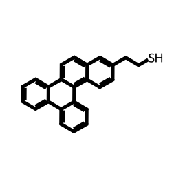 SCCc1ccc2c(ccc3c4ccccc4c4ccccc4c23)c1